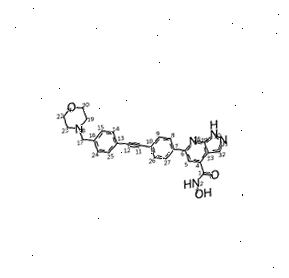 O=C(NO)c1cc(-c2ccc(C#Cc3ccc(CN4CCOCC4)cc3)cc2)nc2[nH]ncc12